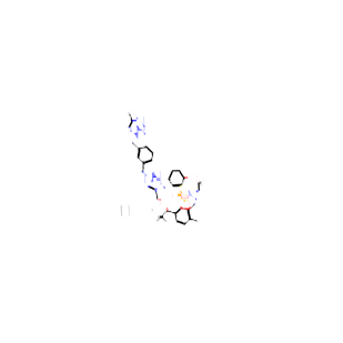 Cc1ccc(C(OCc2cn(Cc3cccc(Cn4cc(CO)nn4)c3)nn2)C(C)(C)C(=O)O)cc1CN1C[C@@H](C)Oc2ccccc2S1(=O)=O